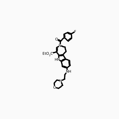 CCOC(=O)C1=CN(C(=O)c2ccc(F)cc2)CCc2c1[nH]c1cc(NCCN3CCOCC3)ccc21